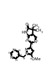 COc1cc(-c2ncc3c(n2)NC(=O)C3(C)C)nn1Cc1cncnc1